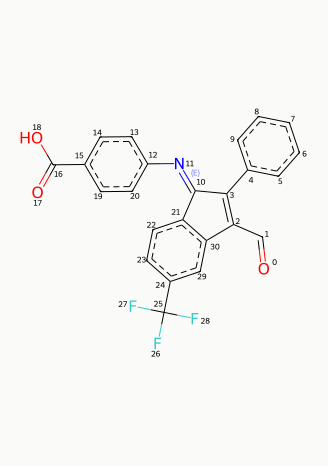 O=CC1=C(c2ccccc2)/C(=N/c2ccc(C(=O)O)cc2)c2ccc(C(F)(F)F)cc21